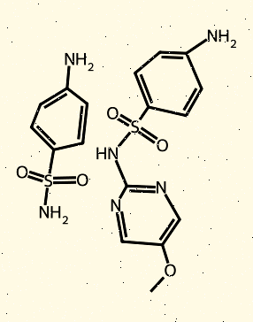 COc1cnc(NS(=O)(=O)c2ccc(N)cc2)nc1.Nc1ccc(S(N)(=O)=O)cc1